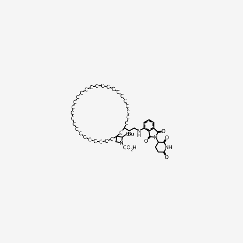 CC(C)(C)C1N(C(=O)O)CC12CCCCCCCCCCCCCCCCCCCCCCCCCCCCC(CCNc1cccc3c1C(=O)N(C1CCC(=O)NC1=O)C3=O)C2